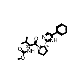 COC(=O)N[C@H](C(=O)N1CCC[C@H]1c1ncc(C2=CCCC=C2)[nH]1)C(C)C